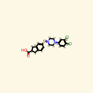 O=C(O)C1Cc2ccc(SN3CCN(c4ccc(Cl)c(Cl)c4)CC3)cc2C1